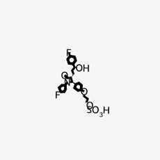 O=C1[C@H](CC[C@H](O)c2ccc(F)cc2)[C@@H](c2ccc(OCCCOS(=O)(=O)O)cc2)N1c1ccc(F)cc1